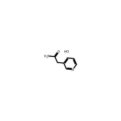 Cl.NC(=O)Cc1cccnc1